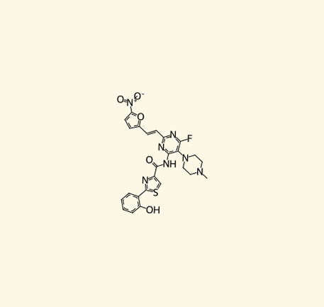 CN1CCN(c2c(F)nc(/C=C/c3ccc([N+](=O)[O-])o3)nc2NC(=O)c2csc(-c3ccccc3O)n2)CC1